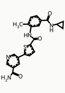 Cc1ccc(C(=O)NC2CC2)cc1NC(=O)c1ccc(-c2cncc(C(N)=O)c2)s1